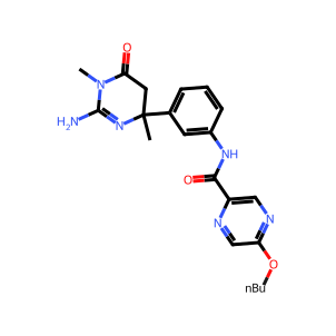 CCCCOc1cnc(C(=O)Nc2cccc(C3(C)CC(=O)N(C)C(N)=N3)c2)cn1